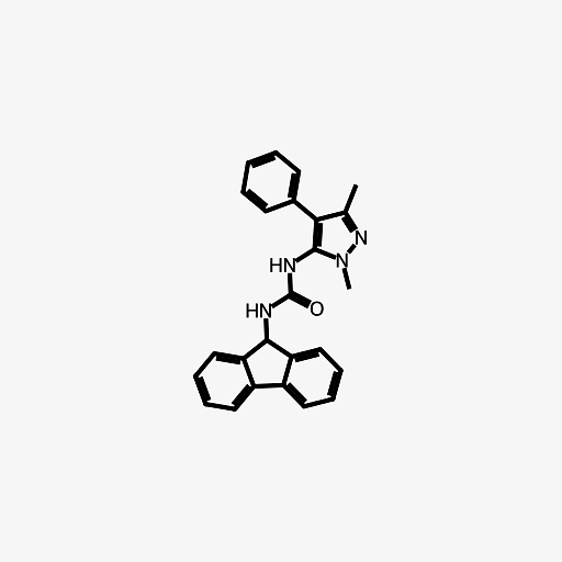 Cc1nn(C)c(NC(=O)NC2c3ccccc3-c3ccccc32)c1-c1ccccc1